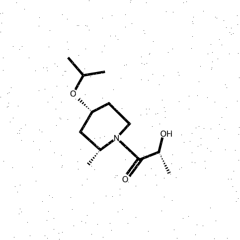 CC(C)O[C@@H]1CCN(C(=O)[C@@H](C)O)[C@H](C)C1